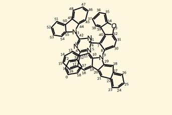 c1ccc(-c2nc(-c3c(-n4c5cc6ccccc6cc5c5cc6ccccc6cc54)ccc4oc5ccccc5c34)nc(-n3c4ccccc4c4ccccc43)n2)cc1